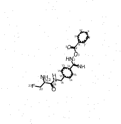 N=C(NOC(=O)c1ccccc1)c1ccc(CNC(=O)C(N)CF)cc1